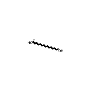 O=C(O)C=CCCCCCCCCCCCCO